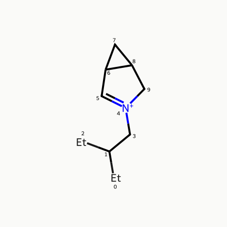 CCC(CC)C[N+]1=CC2CC2C1